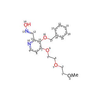 COCCOCCOc1ccnc(/C=N/O)c1OCc1ccccc1